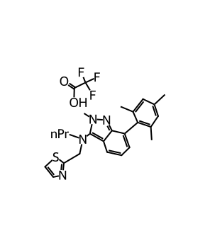 CCCN(Cc1nccs1)c1c2cccc(-c3c(C)cc(C)cc3C)c2nn1C.O=C(O)C(F)(F)F